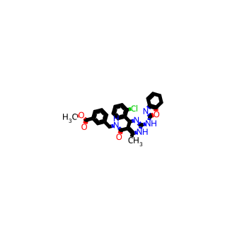 COC(=O)c1cccc(CNC(=O)C2=C(C)NC(Nc3nc4c(o3)CCC=C4)=NC2c2ccccc2Cl)c1